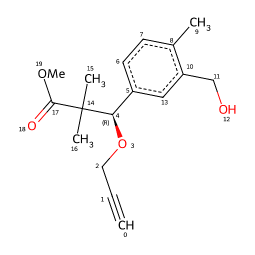 C#CCO[C@H](c1ccc(C)c(CO)c1)C(C)(C)C(=O)OC